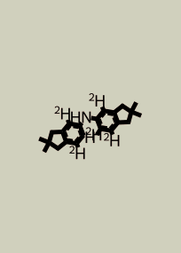 [2H]c1c([2H])c(Nc2c([2H])c([2H])c3c(c2[2H])CC(C)(C)C3)c([2H])c2c1CC(C)(C)C2